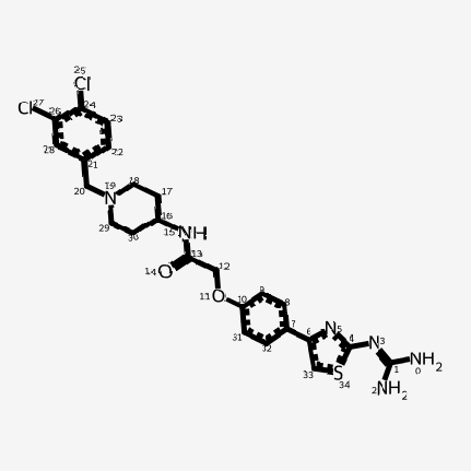 NC(N)=Nc1nc(-c2ccc(OCC(=O)NC3CCN(Cc4ccc(Cl)c(Cl)c4)CC3)cc2)cs1